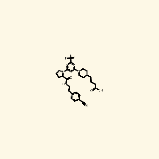 N#Cc1ccc(CCNC(=O)C2CCCN2c2cc(N3CCC(CCCC(=O)O)CC3)nc(C(F)(F)F)n2)cc1